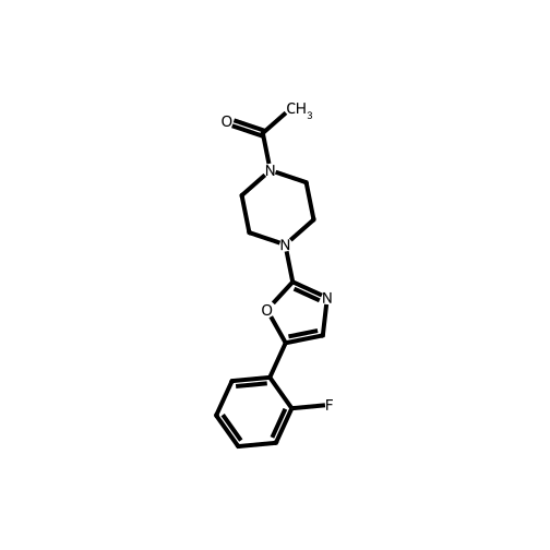 CC(=O)N1CCN(c2ncc(-c3ccccc3F)o2)CC1